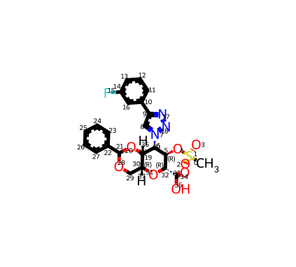 CS(=O)(=O)O[C@@H]1[C@@H](n2cc(-c3cccc(F)c3)nn2)[C@H]2OC(c3ccccc3)OC[C@H]2O[C@H]1C(=O)O